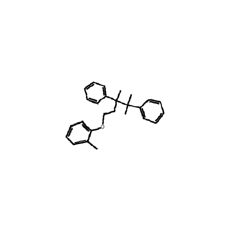 Cc1ccccc1OCCC(C)(c1ccccc1)C(C)(C)c1ccccc1